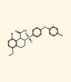 COc1ccc(Br)c2c1CCN(S(=O)(=O)c1ccc(Oc3ccc(F)cc3)cc1)C2C(=O)O